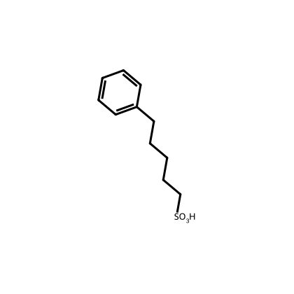 O=S(=O)(O)CCCCCc1ccccc1